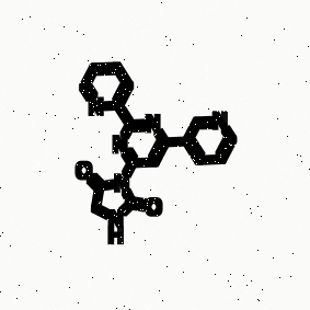 O=C1CNC(=O)N1c1cc(-c2cccnc2)nc(-c2ccccn2)n1